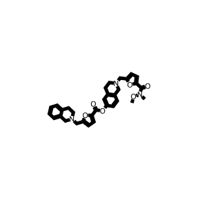 CON(C)C(=O)c1ccc(CN2CCc3cc(OC(=O)c4ccc(CN5CCc6ccccc6C5)o4)ccc3C2)o1